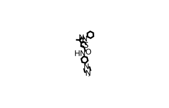 Cc1nn(C2CCCCC2)c2sc(C(=O)N[C@H]3CC[C@H](N4CCN(C)CC4)CC3)cc12